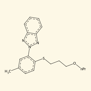 CCCOCCCSc1ccc(C)cc1-n1nc2ccccc2n1